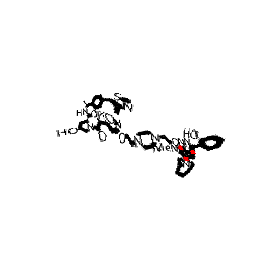 CNc1nnc(-c2ccccc2O)cc1N1CC2CCC(C1)N2c1ccnc(OCCN2CCN(CCOc3cc([C@H](C(=O)N4C[C@H](O)C[C@H]4C(=O)N[C@@H](C)c4ccc(-c5scnc5C)cc4)C(C)C)on3)C[C@H]2C)c1